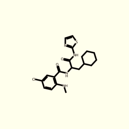 CNc1ccc(Cl)cc1C(=O)NC(CC1CCCCC1)C(=O)Nc1nccs1